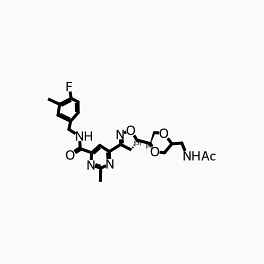 CC(=O)NCC1CO[C@@H]([C@@H]2CC(c3cc(C(=O)NCc4ccc(F)c(C)c4)nc(C)n3)=NO2)CO1